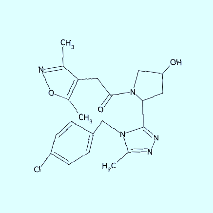 Cc1noc(C)c1CC(=O)N1CC(O)CC1c1nnc(C)n1Cc1ccc(Cl)cc1